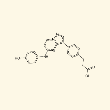 O=C(O)CCc1ccc(-c2cnn3ccc(Nc4ccc(O)cc4)nc23)cc1